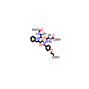 COCCOc1ccc(CN(CC(O)C(Cc2ccccc2)NC(=O)[C@@H](NC(=O)OC)C(C)C)NC(=O)[C@@H](NC(=O)OC)C(C)C)cc1